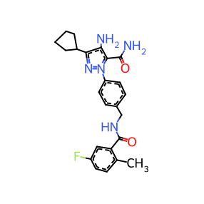 Cc1ccc(F)cc1C(=O)NCc1ccc(-n2nc(C3CCCC3)c(N)c2C(N)=O)cc1